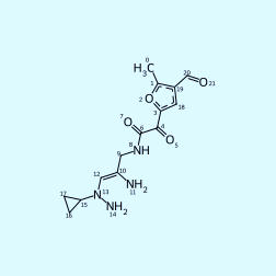 Cc1oc(C(=O)C(=O)NC/C(N)=C/N(N)C2CC2)cc1C=O